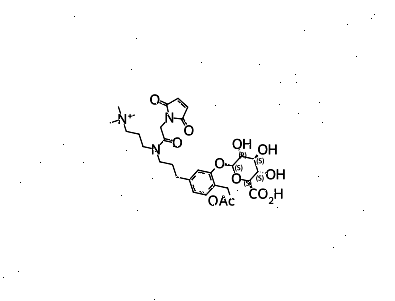 CC(=O)OCc1ccc(CCCN(CCC[N+](C)(C)C)C(=O)CN2C(=O)C=CC2=O)cc1O[C@@H]1O[C@H](C(=O)O)[C@@H](O)[C@H](O)[C@H]1O